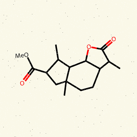 COC(=O)C1CC2(C)CCC3C(C)C(=O)OC3C2C1C